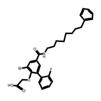 O=C(O)COc1c(Br)cc(C(=O)NCCCCCCCCc2ccccc2)cc1-c1ccccc1F